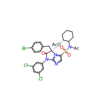 CC(=O)O[C@@H]1CCCCC1N(C(C)=O)S(=O)(=O)c1cnc2n1[C@](C)(Cc1ccc(Br)cc1)C(=O)N2c1cc(Cl)cc(Cl)c1